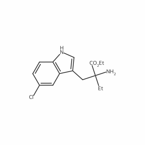 CCOC(=O)C(N)(CC)Cc1c[nH]c2ccc(Cl)cc12